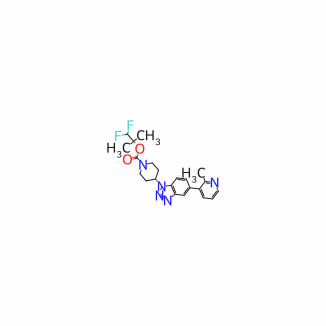 Cc1ncccc1-c1ccc2c(c1)nnn2C1CCN(C(=O)OC(C)(C)C(F)F)CC1